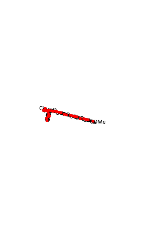 COCCOCCOCCOCCOCCOCCOCCOCCOCCOCCOCCOCCC(=O)OC[C@H]1CN(C2CCN(c3ccccn3)CC2)[C@@H](Cc2ccc(Cl)cc2)CO1